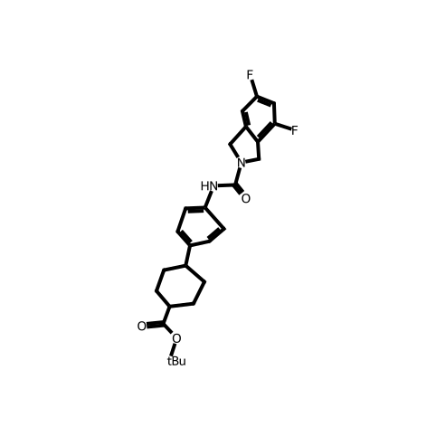 CC(C)(C)OC(=O)C1CCC(c2ccc(NC(=O)N3Cc4cc(F)cc(F)c4C3)cc2)CC1